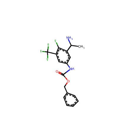 CC(N)c1cc(NC(=O)OCc2ccccc2)cc(C(F)(F)F)c1F